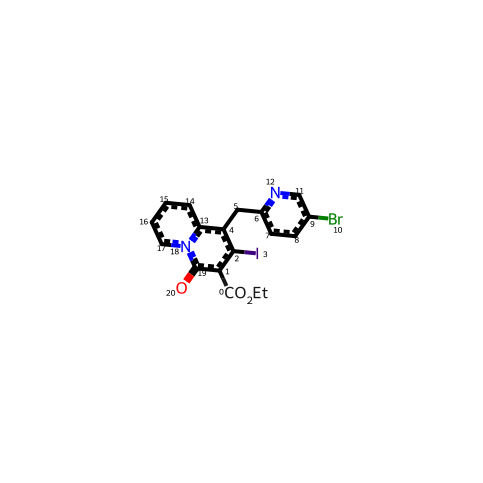 CCOC(=O)c1c(I)c(Cc2ccc(Br)cn2)c2ccccn2c1=O